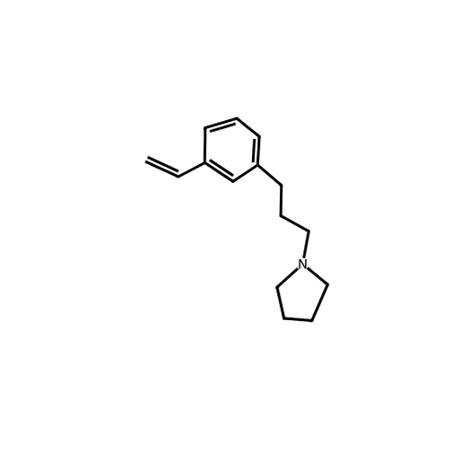 C=Cc1cccc(CCCN2CCCC2)c1